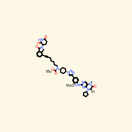 CC[C@@H]1C(=O)N(C)c2cnc(Nc3ccc(-c4cn([C@H]5CC[C@@H](N(CCCCCC#Cc6cccc7c6CN(C6CCC(=O)NC6=O)C7=O)C(=O)OC(C)(C)C)CC5)nn4)cc3OC)nc2N1C1CCCC1